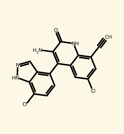 C#Cc1cc(Cl)cc2c(-c3ccc(Cl)c4[nH]ncc34)c(N)c(=O)[nH]c12